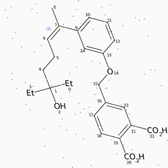 CCC(O)(CC)CC/C=C(/C)c1cccc(OCc2ccc(C(=O)O)c(C(=O)O)c2)c1